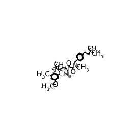 COc1cc(C)c(SN(C)CCNC(=O)C(=O)N(C)Cc2ccc(CCN(C)C)cc2)c(C)c1